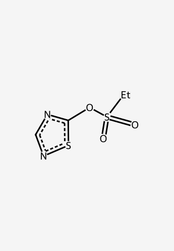 CCS(=O)(=O)Oc1ncns1